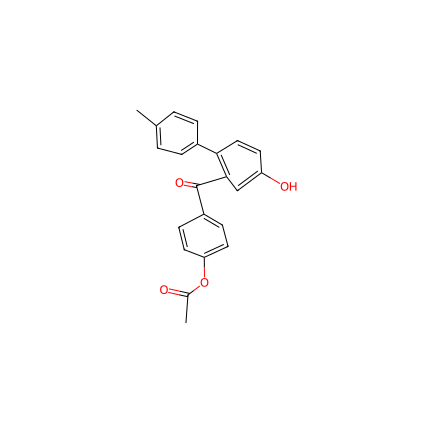 CC(=O)Oc1ccc(C(=O)c2cc(O)ccc2-c2ccc(C)cc2)cc1